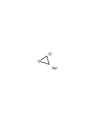 C1CO1.[Cl-].[Na+]